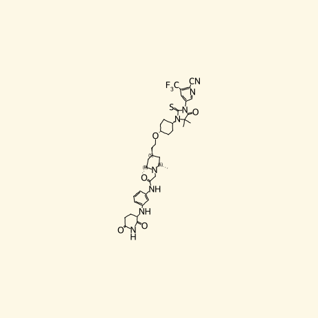 C[C@@H]1C[C@@H](CCO[C@H]2CC[C@H](N3C(=S)N(c4cnc(C#N)c(C(F)(F)F)c4)C(=O)C3(C)C)CC2)C[C@H](C)N1CC(=O)Nc1cccc(NC2CCC(=O)NC2=O)c1